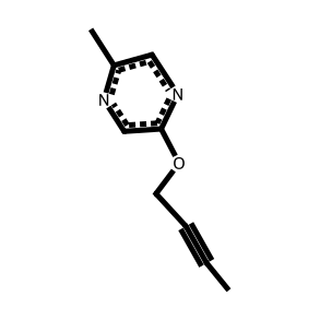 CC#CCOc1cnc(C)cn1